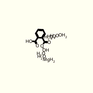 O.O.O.O.O.O.O=C(O)c1ccccc1C(=O)OO.[MgH2]